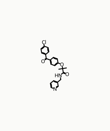 CC(C)(Oc1ccc(C(=O)c2ccc(Cl)cc2)cc1)C(=O)NCc1cccnc1